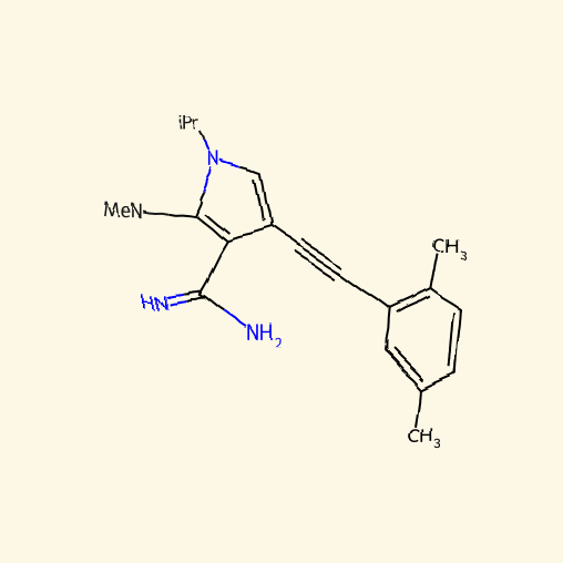 CNc1c(C(=N)N)c(C#Cc2cc(C)ccc2C)cn1C(C)C